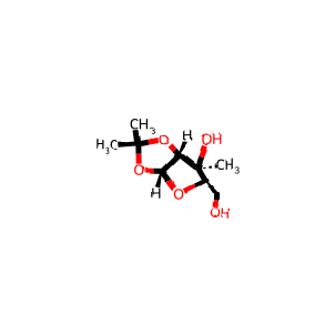 CC1(C)O[C@H]2O[C@H](CO)[C@](C)(O)[C@H]2O1